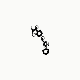 O=c1c(I)coc2cc(OCc3cnn(-c4ccccc4)c3)ccc12